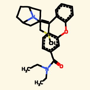 CCN(CC)C(=O)c1ccc2c(c1)Oc1ccccc1C2=C1CC2CCC(C1)N2CCSC